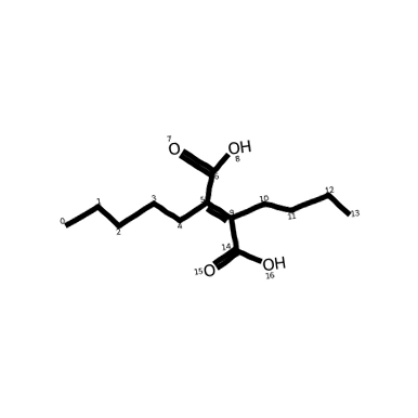 CCCCCC(C(=O)O)=C(CCCC)C(=O)O